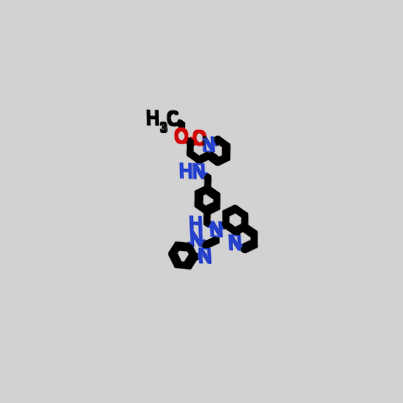 CCOC(=O)CC(NCc1ccc(CN(Cc2nc3ccccc3[nH]2)C2CCCc3cccnc32)cc1)c1ccccn1